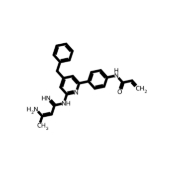 C=CC(=O)Nc1ccc(-c2cc(Cc3ccccc3)cc(NC(=N)/C=C(/C)N)n2)cc1